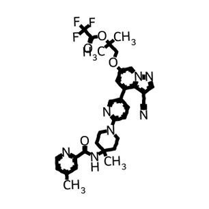 Cc1ccnc(C(=O)NC2(C)CCN(c3ccc(-c4cc(OCC(C)(C)OC(=O)C(F)(F)F)cn5ncc(C#N)c45)cn3)CC2)c1